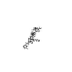 C=CC(=O)NC1CCCN(S(=O)(=O)c2ccc(C(=O)NCCc3ccccc3)c(OC)c2)CC1